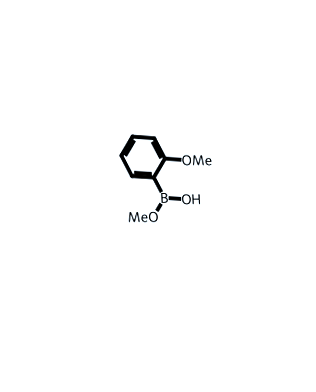 COB(O)c1ccccc1OC